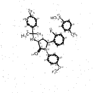 CC(C)(N[C@H]1C[C@@H](c2ccccc2F)N(c2ccc(OC(F)(F)F)cc2)C1=O)c1ccc(C(F)(F)F)nc1.Cc1ccc(S(=O)(=O)O)cc1